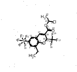 CCc1cc(S(F)(F)(F)(F)F)cc2c1O[C@H](C(F)(F)F)C(C(=O)OC(C)Cl)=C2